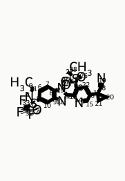 CCN=S(=O)(c1ccc2c(c1)nc(-c1ncc(C3(C#N)CC3)cc1S(=O)(=O)CC)n2C)C(F)(F)F